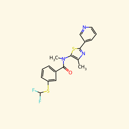 Cc1nc(-c2cccnc2)sc1N(C)C(=O)c1cccc(SC(F)F)c1